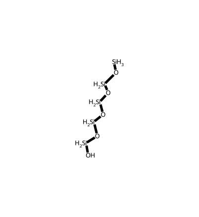 O[SiH2]O[SiH2]O[SiH2]O[SiH2]O[SiH3]